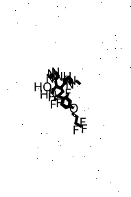 CCn1ccc(C2=C(c3nnn[nH]3)C(O)N[C@@](c3ccc(OCCCC(F)(F)F)cc3F)(C(F)(F)F)C2)n1